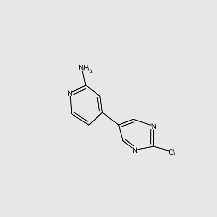 Nc1cc(-c2cnc(Cl)nc2)ccn1